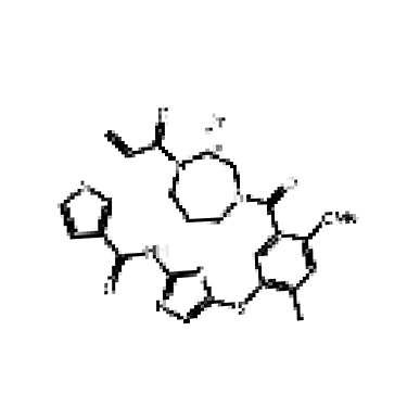 C=CC(=O)N1CCCN(C(=O)c2cc(Sc3cnc(NC(=O)c4ccsc4)s3)c(C)cc2OC)C[C@H]1C(C)C